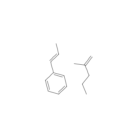 C=C(C)CCC.CC=Cc1ccccc1